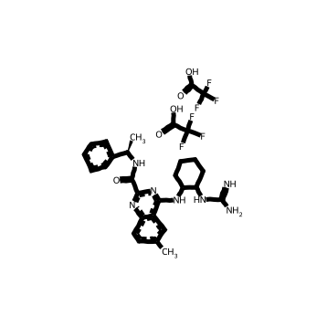 Cc1ccc2nc(C(=O)N[C@H](C)c3ccccc3)nc(NC3CCCCC3NC(=N)N)c2c1.O=C(O)C(F)(F)F.O=C(O)C(F)(F)F